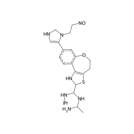 CC(C)NC(NC(C)N)C1NC2=C(CCOc3cc(C4=CNCN4CCN=O)ccc32)S1